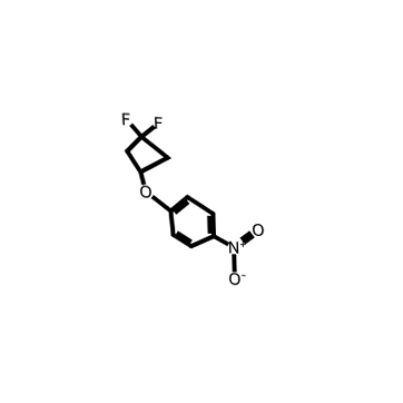 O=[N+]([O-])c1ccc(OC2CC(F)(F)C2)cc1